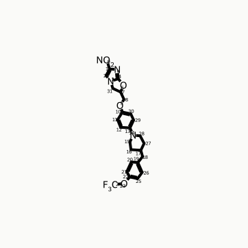 O=[N+]([O-])c1cn2c(n1)OC(COc1ccc(N3CCC(Cc4ccc(OC(F)(F)F)cc4)CC3)cc1)C2